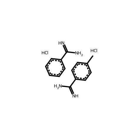 Cc1ccc(C(=N)N)cc1.Cl.Cl.N=C(N)c1ccccc1